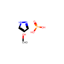 O=CO.O=[PH](O)O.c1cn[nH]c1